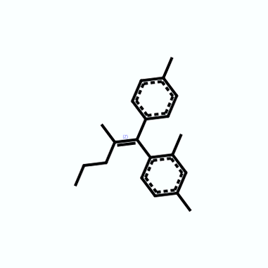 CCC/C(C)=C(/c1ccc(C)cc1)c1ccc(C)cc1C